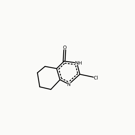 O=c1[nH]c(Cl)nc2c1CCCC2